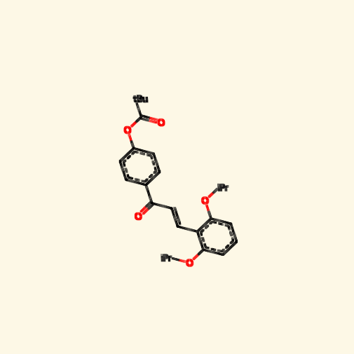 CC(C)Oc1cccc(OC(C)C)c1C=CC(=O)c1ccc(OC(=O)C(C)(C)C)cc1